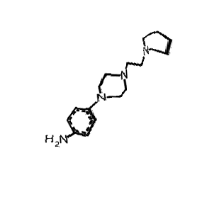 Nc1ccc(N2CCN(CCN3CCCC3)CC2)cc1